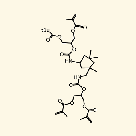 C=C(C)C(=O)OCC(COC(=O)C(=C)C)OC(=O)NCC1(C)CC(NC(=O)OC(COC(=O)C(=C)C)COC(=O)C(C)(C)C)CC(C)(C)C1